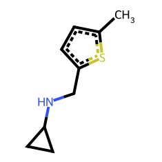 Cc1ccc(CNC2CC2)s1